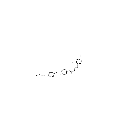 Nc1ccc(CCCC(=Cc2ccc(OC(=O)c3ccc(OCCCC(F)(F)C(F)(F)F)cc3)cc2)C(=O)O)c(N)c1